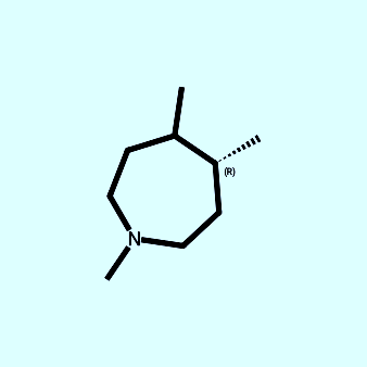 CC1CCN(C)CC[C@H]1C